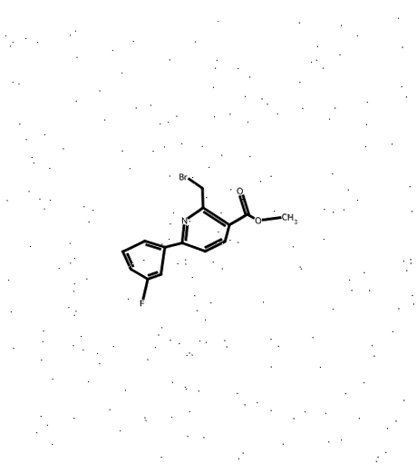 COC(=O)c1ccc(-c2cccc(F)c2)nc1CBr